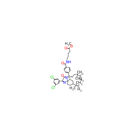 COC(=O)CCCCNC(=O)c1ccc([C@@H](CCC(C)(C)C)N2C(=O)C(c3cc(Cl)cc(Cl)c3)=NC23CCC(C(C)(C)C)CC3)cc1